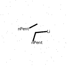 CCCCCC.[Li][CH2]CCCCC